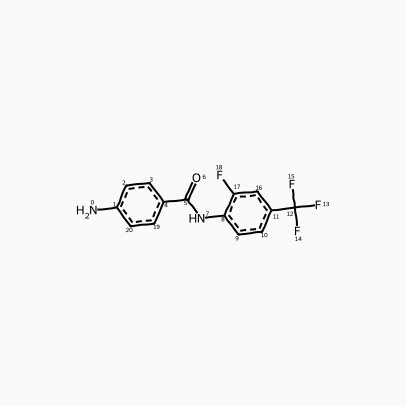 Nc1ccc(C(=O)Nc2ccc(C(F)(F)F)cc2F)cc1